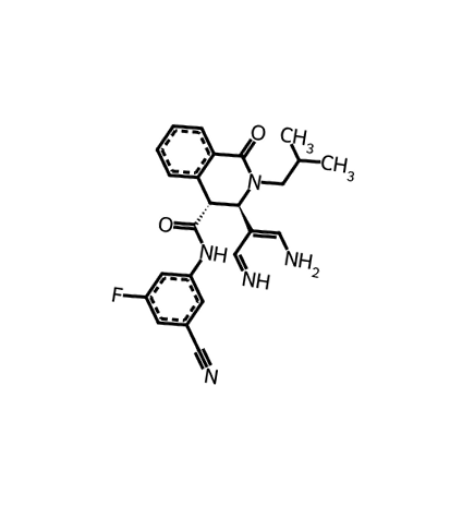 CC(C)CN1C(=O)c2ccccc2[C@@H](C(=O)Nc2cc(F)cc(C#N)c2)[C@@H]1/C(C=N)=C/N